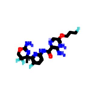 C=C(/C=N\C(C(=O)Nc1ccc(F)c([C@@]2(C)N=C(N)OCC2(F)F)n1)=C(N)N)OCCCF